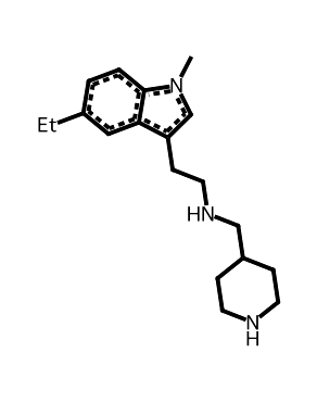 CCc1ccc2c(c1)c(CCNCC1CCNCC1)cn2C